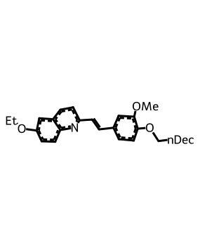 CCCCCCCCCCCOc1ccc(C=Cc2ccc3cc(OCC)ccc3n2)cc1OC